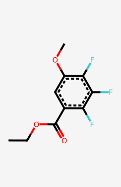 CCOC(=O)c1cc(OC)c(F)c(F)c1F